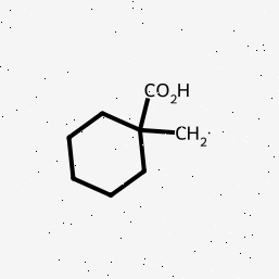 [CH2]C1(C(=O)O)CCCCC1